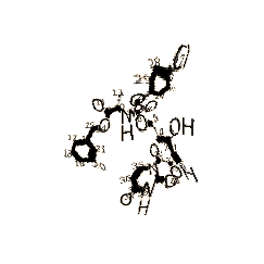 C#C[C@H](O)[C@@H](COP(=O)(N[C@@H](C)C(=O)OCc1ccccc1)Oc1ccc(Cl)cc1)O[C@H](CO)n1ccc(=O)[nH]c1=O